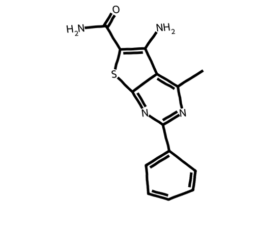 Cc1nc(-c2ccccc2)nc2sc(C(N)=O)c(N)c12